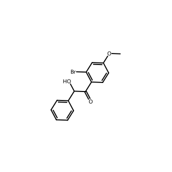 COc1ccc(C(=O)C(O)c2ccccc2)c(Br)c1